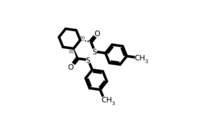 Cc1ccc(SC(=O)[C@H]2CCCC[C@@H]2C(=O)Sc2ccc(C)cc2)cc1